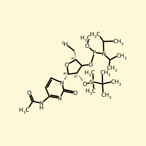 [2H]C[C@H]1O[C@@H](n2ccc(NC(C)=O)nc2=O)[C@@H](O[Si](C)(C)C(C)(C)C)C1OP(OC)N(C(C)C)C(C)C